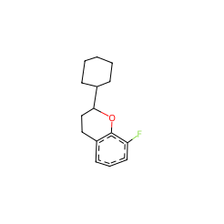 Fc1cccc2c1OC(C1CCCCC1)CC2